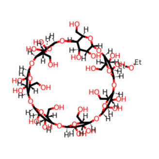 CCOCC.OC[C@H]1O[C@@H]2O[C@H]3[C@H](O)[C@@H](O)[C@@H](O[C@H]4[C@H](O)[C@@H](O)[C@@H](O[C@H]5[C@H](O)[C@@H](O)[C@@H](O[C@H]6[C@H](O)[C@@H](O)[C@@H](O[C@H]7[C@H](O)[C@@H](O)[C@@H](O[C@H]8[C@H](O)[C@@H](O)[C@@H](O[C@H]1[C@H](O)[C@H]2O)O[C@@H]8CO)O[C@@H]7CO)O[C@@H]6CO)O[C@@H]5CO)O[C@@H]4CO)O[C@@H]3CO